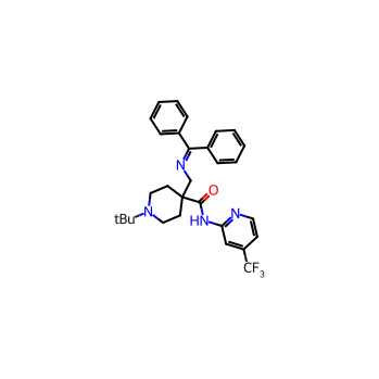 CC(C)(C)N1CCC(CN=C(c2ccccc2)c2ccccc2)(C(=O)Nc2cc(C(F)(F)F)ccn2)CC1